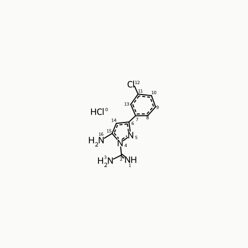 Cl.N=C(N)n1nc(-c2cccc(Cl)c2)cc1N